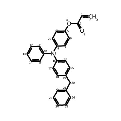 C=CC(=O)Oc1ccc(N(c2ccccc2)c2ccc(Cc3ccccc3)cc2)cc1